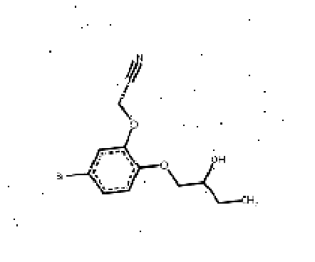 CCC(O)COc1ccc(Br)cc1OCC#N